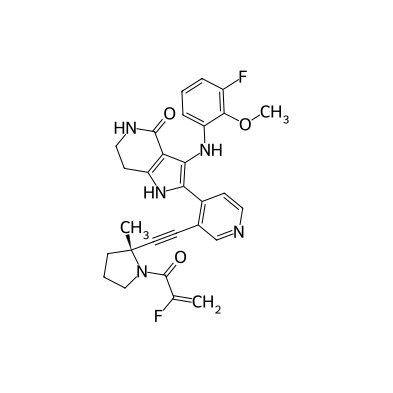 C=C(F)C(=O)N1CCC[C@]1(C)C#Cc1cnccc1-c1[nH]c2c(c1Nc1cccc(F)c1OC)C(=O)NCC2